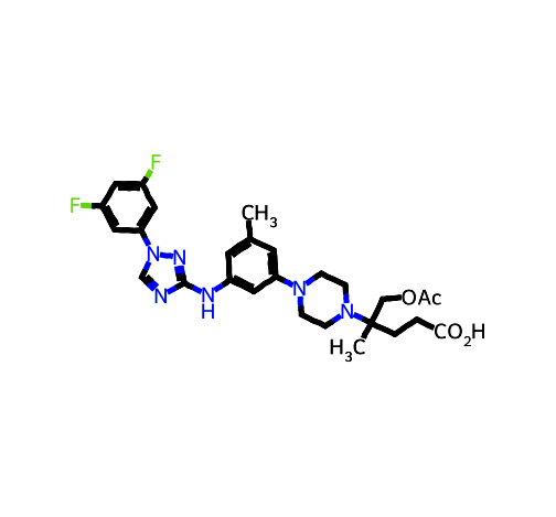 CC(=O)OCC(C)(CCC(=O)O)N1CCN(c2cc(C)cc(Nc3ncn(-c4cc(F)cc(F)c4)n3)c2)CC1